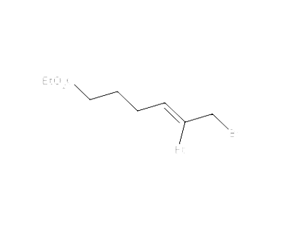 CCOC(=O)CCC/C=C(\CC)CBr